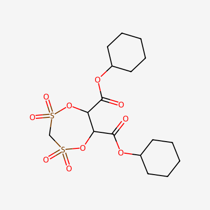 O=C(OC1CCCCC1)C1OS(=O)(=O)CS(=O)(=O)OC1C(=O)OC1CCCCC1